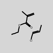 C=C(C)C(=O)OCC.CC=CCl